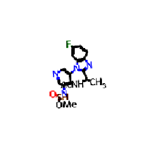 CO[SH](=O)=Nc1cncc(-n2c(C(C)NC(C)=O)nc3ccc(F)cc32)c1